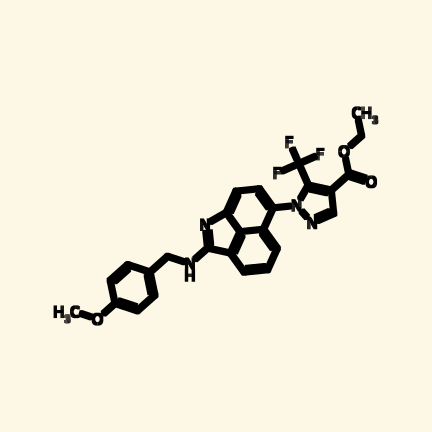 CCOC(=O)c1cnn(-c2ccc3c4c(cccc24)C(NCc2ccc(OC)cc2)=N3)c1C(F)(F)F